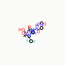 CC(C)(C)[C@H](c1cc(-c2cc(F)ccc2F)cn1Cc1ccccc1)N(CC[C@@](N)(C=O)CNCCNC(=O)c1cccc(N2C(=O)C=CC2=O)c1)C(=O)CO